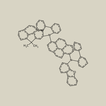 CC1(C)c2cccc3ccc4cc(N(c5ccccc5-c5ccccc5)c5ccc6ccc7c(N(c8ccccc8-c8ccccc8)c8cccc9c8oc8ccccc89)ccc8ccc5c6c87)cc1c4c23